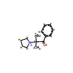 CCCCC(C)(C(=O)c1ccccc1)N1CCCC1